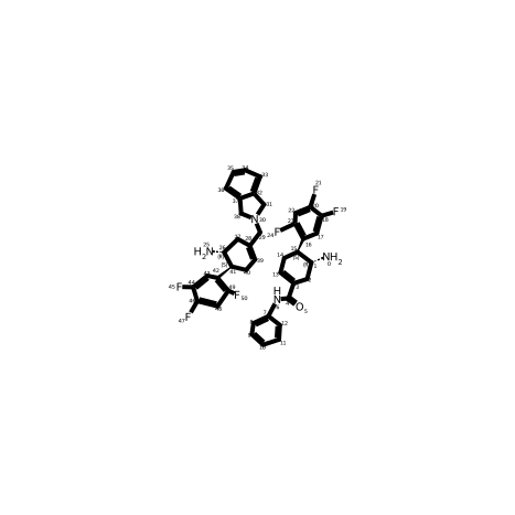 N[C@@H]1CC(C(=O)Nc2ccccc2)=CC[C@H]1c1cc(F)c(F)cc1F.N[C@@H]1CC(CN2Cc3ccccc3C2)=CC[C@H]1c1cc(F)c(F)cc1F